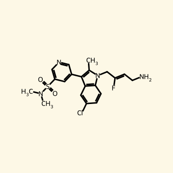 Cc1c(-c2cncc(S(=O)(=O)N(C)C)c2)c2cc(Cl)ccc2n1CC(F)=CCN